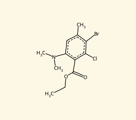 CCOC(=O)c1c(N(C)C)cc(C)c(Br)c1Cl